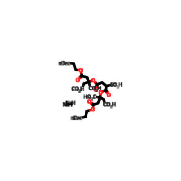 CCCCCCCCCCCCOC(=O)CC(CC(=O)O)(OC(=O)CC(C(=O)OC(CC(=O)O)(CC(=O)OCCCCCCCCCCCC)C(=O)O)S(=O)(=O)O)C(=O)O.[NaH].[NaH]